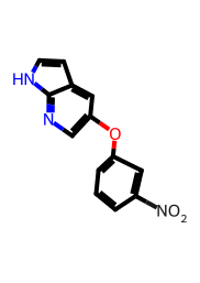 O=[N+]([O-])c1cccc(Oc2cnc3[nH]ccc3c2)c1